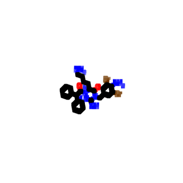 N=C(N)N(Cc1cc(Br)c(N)c(Br)c1)C(=O)C(CCCCN)NC(=O)C(c1ccccc1)c1ccccc1